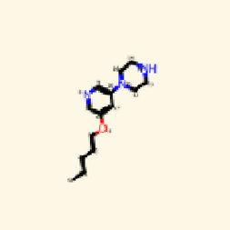 CCCCCOc1cncc(N2CCNCC2)c1